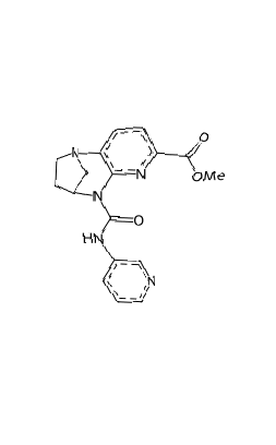 COC(=O)c1ccc2c(n1)N(C(=O)Nc1cccnc1)C1CCN2C1